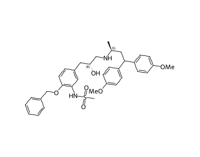 COc1ccc(C(C[C@H](C)NC[C@H](O)Cc2ccc(OCc3ccccc3)c(NS(C)(=O)=O)c2)c2ccc(OC)cc2)cc1